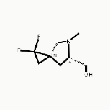 CN1C[C@]2(C[C@H]1CO)CC2(F)F